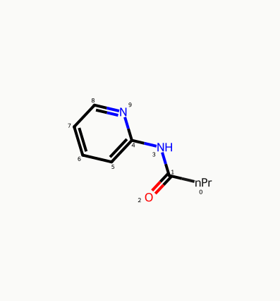 CCCC(=O)Nc1ccccn1